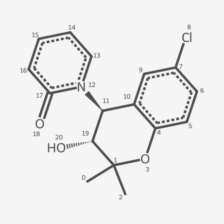 CC1(C)Oc2ccc(Cl)cc2[C@H](n2ccccc2=O)[C@H]1O